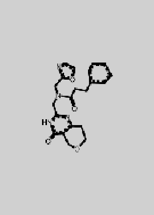 O=C(CCc1ccccc1)N(Cc1nc2c(c(=O)[nH]1)COCC2)Cc1ncco1